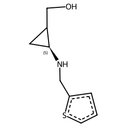 OCC1C[C@@H]1NCc1cccs1